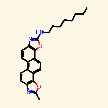 CCCCCCCCNc1nc2ccc3c4ccc5nc(C)oc5c4ccc3c2o1